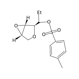 CCC(OS(=O)(=O)c1ccc(C)cc1)[C@H]1OC[C@@H]2O[C@@H]21